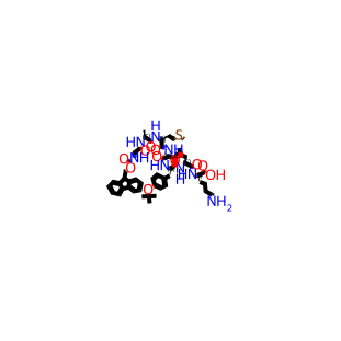 CSCC[C@H](NC(=O)[C@H](C)NC(=O)CNC(=O)OCC1c2ccccc2-c2ccccc21)C(=O)N[C@H](C(=O)N[C@@H](Cc1ccc(OC(C)(C)C)cc1)C(=O)N[C@@H](CC(C)C)C(=O)N[C@@H](CCCCN)C(=O)O)C(C)C